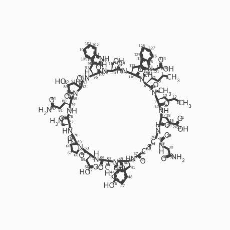 CCCC[C@H]1C(=O)N(C)[C@@H](CCCC)C(=O)N[C@@H](CCC(=O)O)C(=O)N[C@H](C(=O)NCC(N)=O)CSCC(=O)N[C@@H](Cc2ccc(O)cc2)C(=O)N(C)[C@@H](C)C(=O)N[C@@H](CC(=O)O)C(=O)N2CCC[C@H]2C(=O)N[C@@H](CN)C(=O)N[C@@H](CCC(N)=O)C(=O)N2C[C@H](O)C[C@H]2C(=O)N[C@@H](Cc2c[nH]c3ccccc23)C(=O)N[C@@H](CO)C(=O)N[C@@H](Cc2cn(CC(=O)O)c3ccccc23)C(=O)N1C